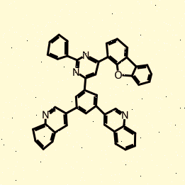 c1ccc(-c2nc(-c3cc(-c4cnc5ccccc5c4)cc(-c4cnc5ccccc5c4)c3)cc(-c3cccc4c3oc3ccccc34)n2)cc1